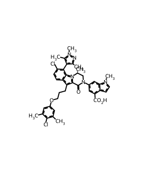 Cc1cc(OCCCc2c3n(c4c(-c5c(C)nn(C)c5C)c(Cl)ccc24)[C@H](C)CN(c2cc(C(=O)O)c4ccn(C)c4c2)C3=O)cc(C)c1Cl